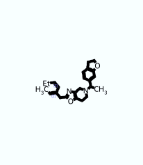 C/C=C(\C=C/CC)Cc1nc2c(o1)CCN(C(C)c1ccc3c(c1)OCC3)C2